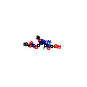 Cc1c(NC(=O)c2ccc(C(C)(C)O)cc2F)cc(F)cc1-c1ncnc2c1cc(-c1ccc(OC3CCN(C(=O)OC(C)(C)C)CC3)cc1)n2COCC[Si](C)(C)C